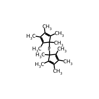 CC1=C(C)[C](C)([Ir][C]2(C)C(C)=C(C)C(C)=C2C)C(C)=C1C